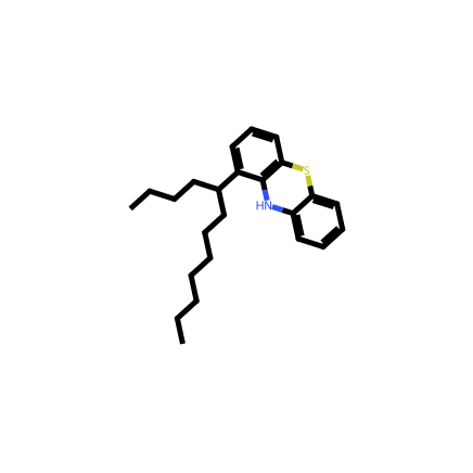 CCCCCCCC(CCCC)c1cccc2c1Nc1ccccc1S2